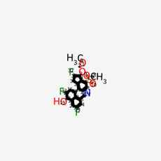 COCO[C@H]1c2c(S(C)(=O)=O)ccc([C@H]3C[C@H](F)[C@H](O)c4cc(F)cc(C#N)c43)c2C[C@H]1F